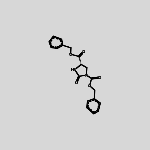 O=C(OCc1ccccc1)[C@@H]1CN(C(=O)OCc2ccccc2)C(=O)N1